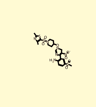 Cc1nc(C)c(S(=O)(=O)N2CCC(ON3C=NC(c4cc(S(C)(=O)=O)ccc4N)=C([N+](=O)[O-])C3)CC2)s1